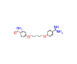 N=C(N)c1ccc(OCCCCCOc2ccc(C(N)=O)cc2)cc1